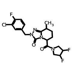 CC1CCC(C(=O)N2CC(F)C(F)C2)n2c1nn(Cc1ccc(F)c(Cl)c1)c2=O